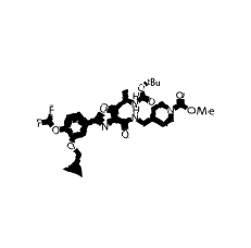 COC(=O)N1CCC(CNC(=O)c2nc(-c3ccc(OC(F)F)c(OCC4CC4)c3)oc2C(C)NC(=O)OC(C)(C)C)CC1